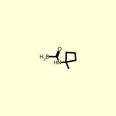 BC(=O)NC1(C)CCC1